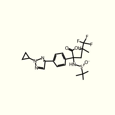 CC(C)(C)[S+]([O-])NC(CC(C)(C)C(F)(F)F)(C(=O)O)c1ccc(-c2cnn(C3CC3)n2)cc1